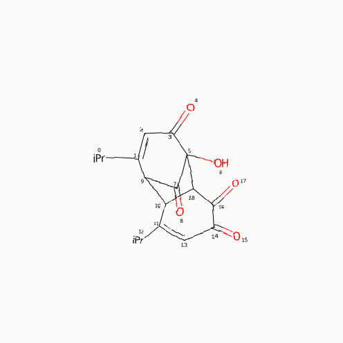 CC(C)C1=CC(=O)C2(O)C(=O)C1C1C(C(C)C)=CC(=O)C(=O)C12